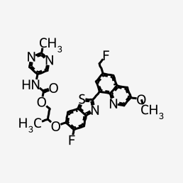 COc1cnc2c(-c3nc4cc(F)c(OC(C)COC(=O)Nc5cnc(C)nc5)cc4s3)cc(CF)cc2c1